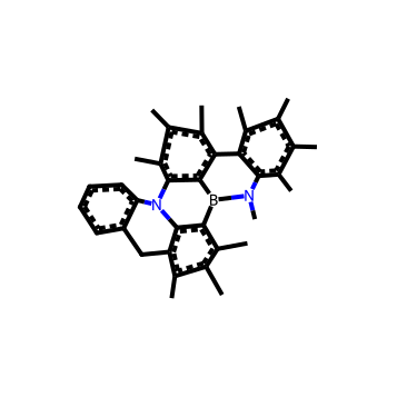 Cc1c(C)c2c3c(c1C)B1c4c(c(C)c(C)c(C)c4N3c3ccccc3C2)-c2c(C)c(C)c(C)c(C)c2N1C